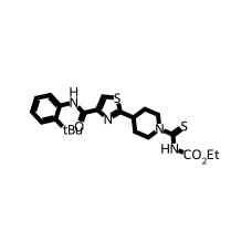 CCOC(=O)NC(=S)N1CCC(c2nc(C(=O)Nc3ccccc3C(C)(C)C)cs2)CC1